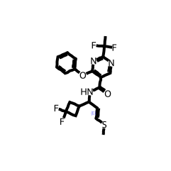 CS/C=C/C(NC(=O)c1cnc(C(C)(F)F)nc1Oc1ccccc1)C1CC(F)(F)C1